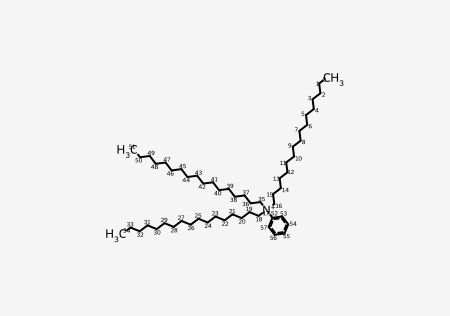 CCCCCCCCCCCCCCCCC[N+](CCCCCCCCCCCCCCCCC)(CCCCCCCCCCCCCCCCC)c1ccccc1